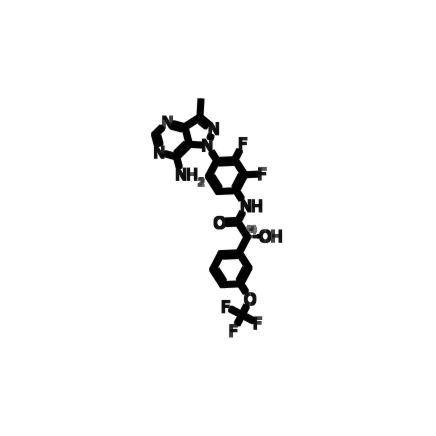 Cc1nn(-c2ccc(NC(=O)[C@H](O)c3cccc(OC(F)(F)F)c3)c(F)c2F)c2c(N)ncnc12